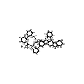 C=C1CC2(C)[n+]3ccccc3-c3cc4c5cc6sc7ccccc7c6c6c7ccccc7n(c4cc3C2(C)CCc2ccccc2-c2cccc[n+]21)c56